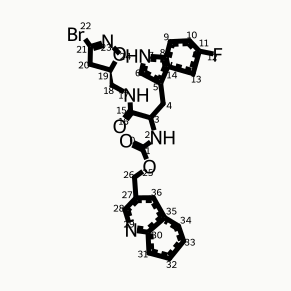 O=C(NC(Cc1c[nH]c2ccc(F)cc12)C(=O)NC[C@H]1CC(Br)=NO1)OCc1cnc2ccccc2c1